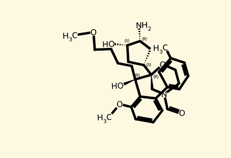 COCCCC[C@@](O)(c1c(OC)cccc1-c1cccc(C)c1)[C@@]1([C@H]2C[C@@H](N)[C@@H](O)C2)CN(C=O)CCO1